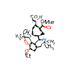 CCOc1cc2c(c3c1OC(C)(C)C3)C(c1ccc(/C=C/C(=O)O)c(C(=O)OC)c1)=NC(C)(C)C2